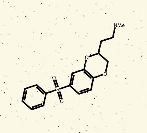 CNCCC1COc2ccc(S(=O)(=O)c3ccccc3)cc2O1